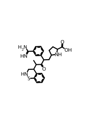 CC(C(=O)C(CC1CCC(C(=O)O)N1)c1cccc(C(=N)N)c1)C1CNSc2ccccc21